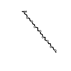 CNCCOCCOCCOCCOCCOCCOCCOCCOC